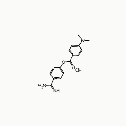 CN(C)c1ccc(C(=O)Oc2ccc(C(=N)N)cc2)cc1.Cl